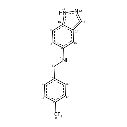 FC(F)(F)c1ccc(CNc2ccc3[nH]ncc3c2)cc1